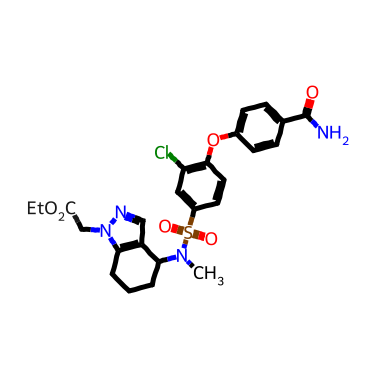 CCOC(=O)Cn1ncc2c1CCCC2N(C)S(=O)(=O)c1ccc(Oc2ccc(C(N)=O)cc2)c(Cl)c1